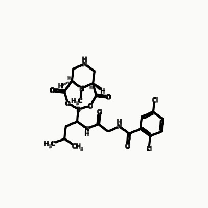 CC(C)CC(NC(=O)CNC(=O)c1cc(Cl)ccc1Cl)B1OC(=O)[C@H]2CNC[C@H](C(=O)O1)N2C